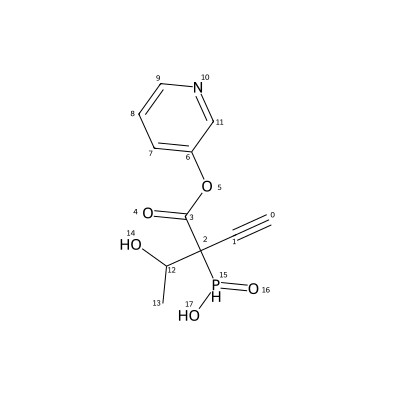 C#CC(C(=O)Oc1cccnc1)(C(C)O)[PH](=O)O